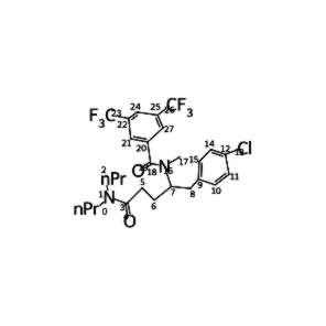 CCCN(CCC)C(=O)CCC(Cc1ccc(Cl)cc1)N(C)C(=O)c1cc(C(F)(F)F)cc(C(F)(F)F)c1